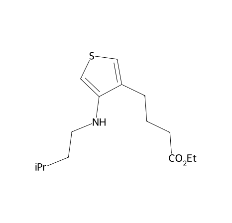 CCOC(=O)CCCc1cscc1NCCC(C)C